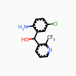 Nc1ccc(Cl)cc1C(O)c1cccnc1C(F)(F)F